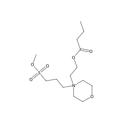 CCCC(=O)OCC[N+]1(CCCS(=O)(=O)OC)CCOCC1